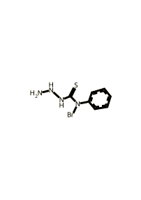 NNNC(=S)N(Br)c1ccccc1